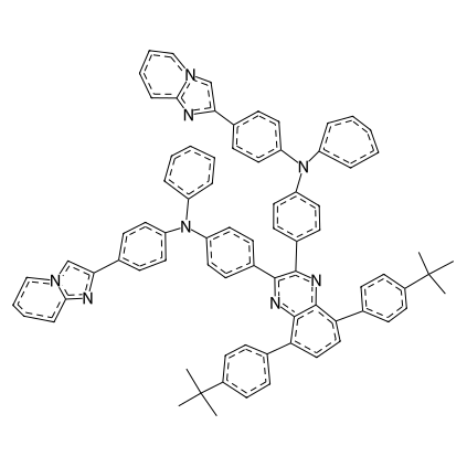 CC(C)(C)c1ccc(-c2ccc(-c3ccc(C(C)(C)C)cc3)c3nc(-c4ccc(N(c5ccccc5)c5ccc(-c6cn7ccccc7n6)cc5)cc4)c(-c4ccc(N(c5ccccc5)c5ccc(-c6cn7ccccc7n6)cc5)cc4)nc23)cc1